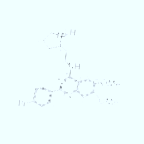 COc1cc2nc(-c3ccc(Br)cc3)nc(NCCC3CCCN3C)c2cc1OC